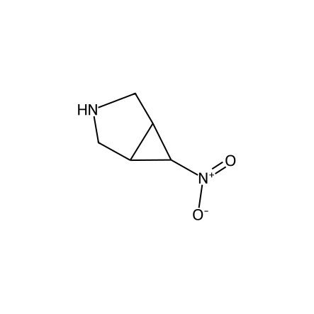 O=[N+]([O-])C1C2CNCC21